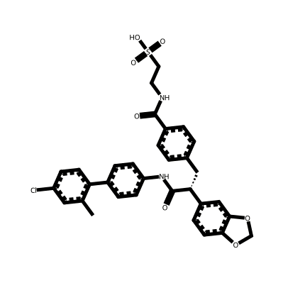 Cc1cc(Cl)ccc1-c1ccc(NC(=O)[C@H](Cc2ccc(C(=O)NCCS(=O)(=O)O)cc2)c2ccc3c(c2)OCO3)cc1